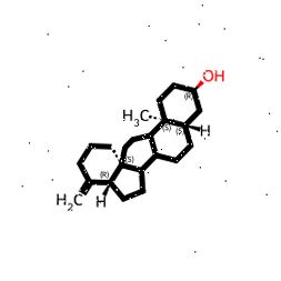 C=C1CCC[C@]23CCC4C(CC[C@H]5C[C@H](O)CC[C@]45C)C2CC[C@H]13